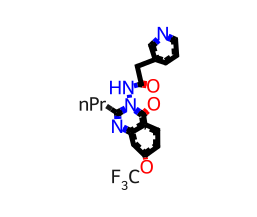 CCCc1nc2cc(OC(F)(F)F)ccc2c(=O)n1NC(=O)Cc1cccnc1